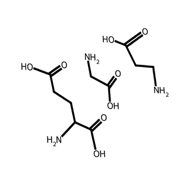 NC(CCC(=O)O)C(=O)O.NCC(=O)O.NCCC(=O)O